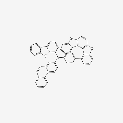 c1ccc2c(c1)ccc1cc(N(c3ccc(-c4cccc5oc6ccc7sc8ccccc8c7c6c45)cc3)c3cccc4c3sc3ccccc34)ccc12